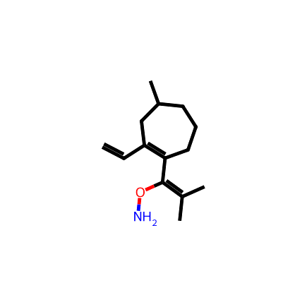 C=CC1=C(C(ON)=C(C)C)CCCC(C)C1